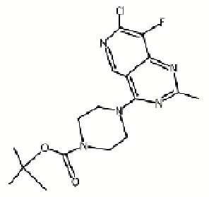 Cc1nc(N2CCN(C(=O)OC(C)(C)C)CC2)c2cnc(Cl)c(F)c2n1